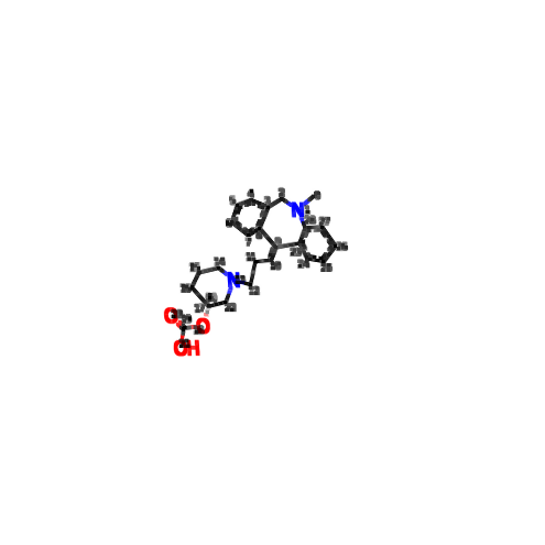 CN1Cc2ccccc2C(=CCCN2CCC[C@@H](OC(=O)O)C2)c2ccccc21